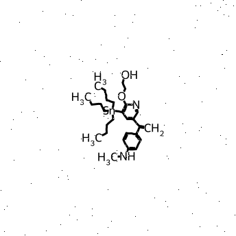 C=C(c1ccc(NC)cc1)c1cnc(OCCO)[c]([Sn]([CH2]CCC)([CH2]CCC)[CH2]CCC)c1